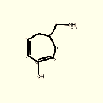 NC[C@@H]1CC=CC(O)=CC1